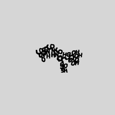 CCC1CC(=O)N(CC(=O)N[C@H](C(=O)N[C@@H](C)C(=O)Nc2ccc(COC(=O)C(C)(C)S)c(CC[C@@H]3O[C@H](C(=O)O)[C@@H](O)[C@H](O)[C@H]3O)c2)C(C)C)C1=O